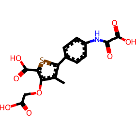 Cc1c(-c2ccc(NC(=O)C(=O)O)cc2)sc(C(=O)O)c1OCC(=O)O